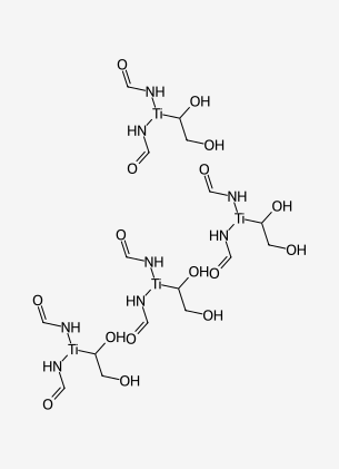 O=C[NH][Ti]([NH]C=O)[CH](O)CO.O=C[NH][Ti]([NH]C=O)[CH](O)CO.O=C[NH][Ti]([NH]C=O)[CH](O)CO.O=C[NH][Ti]([NH]C=O)[CH](O)CO